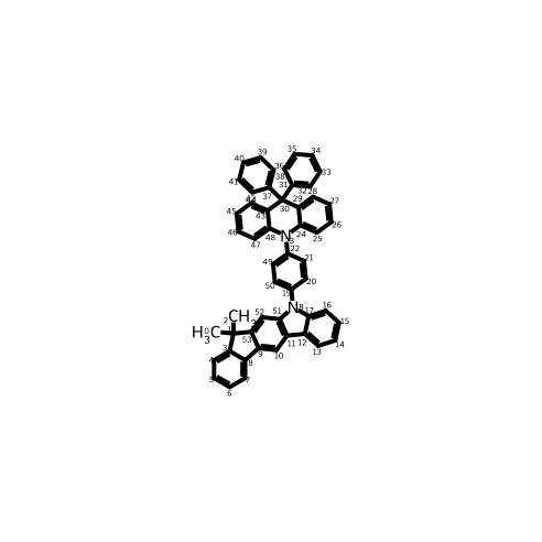 CC1(C)c2ccccc2-c2cc3c4ccccc4n(-c4ccc(N5c6ccccc6C(c6ccccc6)(c6ccccc6)c6ccccc65)cc4)c3cc21